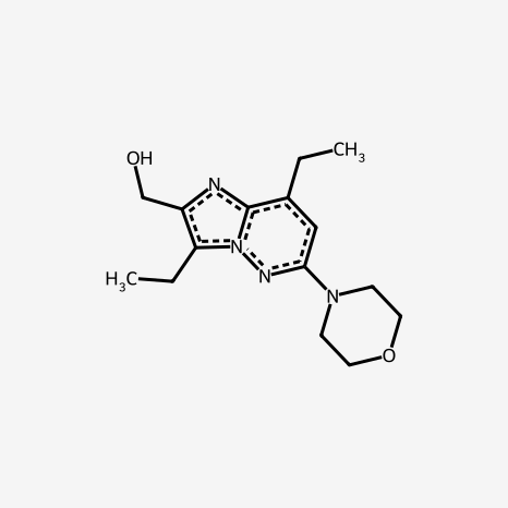 CCc1cc(N2CCOCC2)nn2c(CC)c(CO)nc12